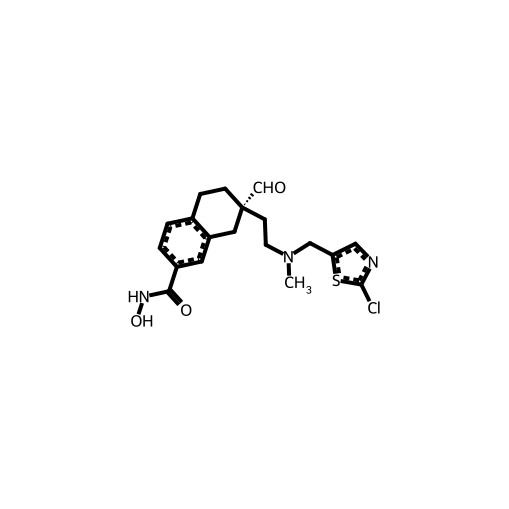 CN(CC[C@]1(C=O)CCc2ccc(C(=O)NO)cc2C1)Cc1cnc(Cl)s1